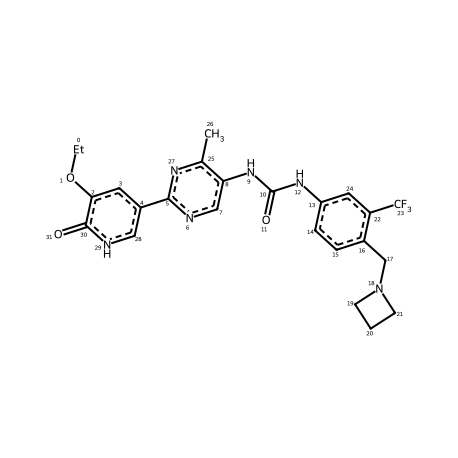 CCOc1cc(-c2ncc(NC(=O)Nc3ccc(CN4CCC4)c(C(F)(F)F)c3)c(C)n2)c[nH]c1=O